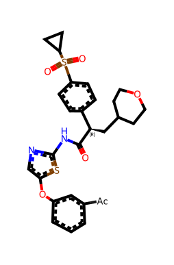 CC(=O)c1cccc(Oc2cnc(NC(=O)[C@H](CC3CCOCC3)c3ccc(S(=O)(=O)C4CC4)cc3)s2)c1